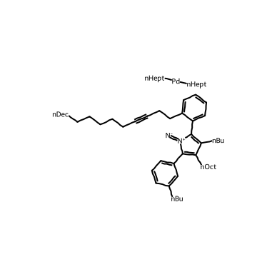 CCCCCCCCCCCCCCCC#CCCc1ccccc1C1=C(CCCC)C(CCCCCCCC)=C(c2cccc(CCCC)c2)[N+]1=[N-].CCCCCC[CH2][Pd][CH2]CCCCCC